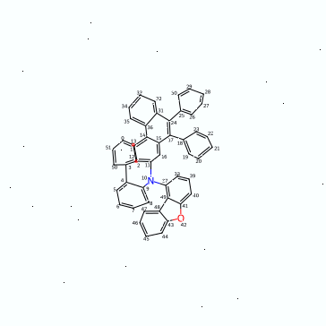 c1ccc(-c2ccccc2N(c2ccc3c(c2)c(-c2ccccc2)c(-c2ccccc2)c2ccccc23)c2cccc3oc4ccccc4c23)cc1